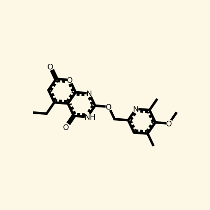 CCc1cc(=O)oc2nc(OCc3cc(C)c(OC)c(C)n3)[nH]c(=O)c12